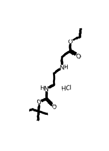 CCOC(=O)CNCCNC(=O)OC(C)(C)C.Cl